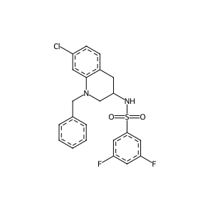 O=S(=O)(NC1Cc2ccc(Cl)cc2N(Cc2ccccc2)C1)c1cc(F)cc(F)c1